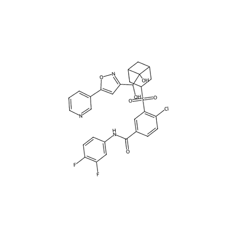 O=C(Nc1ccc(F)c(F)c1)c1ccc(Cl)c(S(=O)(=O)C2CC3CC(C2)C3(O)C(O)c2cc(-c3cccnc3)on2)c1